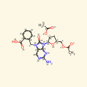 CC(=O)OC[C@@H]1C[C@@H](OC(C)=O)[C@H](n2c(=O)n(Cc3ccccc3C(=O)O)c3cnc(N)nc32)O1